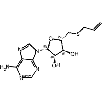 C=CCSC[C@H]1O[C@@H](n2cnc3c(N)ncnc32)[C@H](O)[C@@H]1O